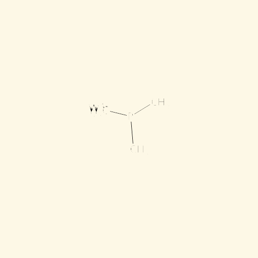 CP(C)C.[W+4]